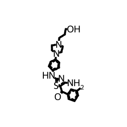 Cc1cccc(C(=O)c2sc(Nc3ccc(N4CCN(CCCO)CC4)cc3)nc2N)c1